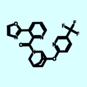 O=C(c1ncccc1-c1ncco1)N1CC2CCC1C(Oc1ccc(C(F)(F)F)cn1)C2